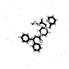 CON=C(C)C[N+]1(Cc2ccccn2)CCN(C(=O)CC(c2ccccc2)c2ccccc2)CC1